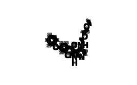 CCOCCOCCNc1ccnc2[nH]cc(C(=O)c3ccc(Oc4ccccc4)cc3Cl)c12